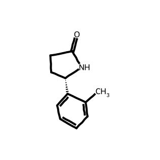 Cc1ccccc1[C@@H]1CCC(=O)N1